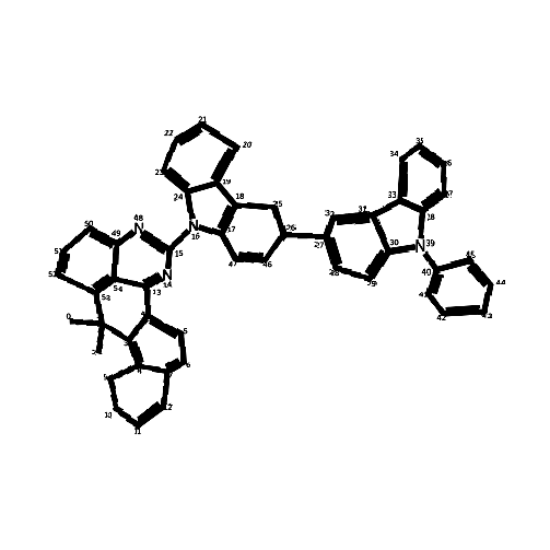 CC1(C)c2c(ccc3c2CCC=C3)-c2nc(-n3c4c(c5ccccc53)CC(c3ccc5c(c3)c3ccccc3n5-c3ccccc3)C=C4)nc3cccc1c23